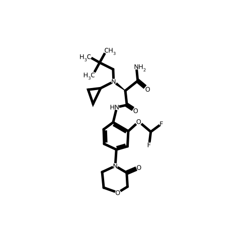 CC(C)(C)CN(C1CC1)[C@@H](C(N)=O)C(=O)Nc1ccc(N2CCOCC2=O)cc1OC(F)F